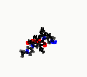 CC(C)(CN(C(=O)O)C1CCN(C2CC2)C1)OC(=O)N(C1CCNC1)C(C)(C)C